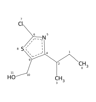 CCC(C)c1nc(Cl)sc1CO